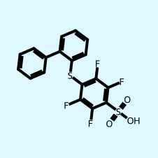 O=S(=O)(O)c1c(F)c(F)c(Sc2ccccc2-c2ccccc2)c(F)c1F